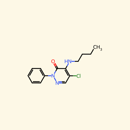 CCCCNc1c(Cl)cnn(-c2ccccc2)c1=O